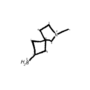 BC1CC2(CCN(C)C2)C1